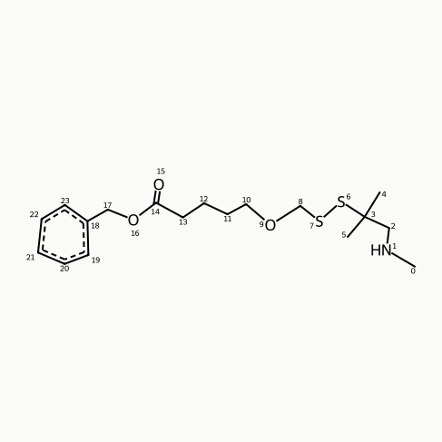 CNCC(C)(C)SSCOCCCCC(=O)OCc1ccccc1